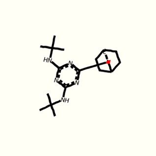 CC(C)(C)Nc1nc(NC(C)(C)C)nc(N2CC3CCC(CC3)C2)n1